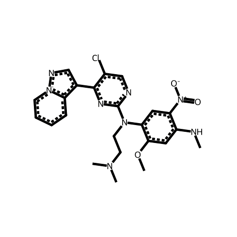 CNc1cc(OC)c(N(CCN(C)C)c2ncc(Cl)c(-c3cnn4ccccc34)n2)cc1[N+](=O)[O-]